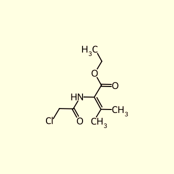 CCOC(=O)C(NC(=O)CCl)=C(C)C